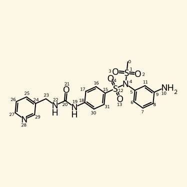 CS(=O)(=O)N(c1cccc(N)c1)S(=O)(=O)c1ccc(NC(=O)NCc2cccnc2)cc1